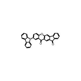 O=C1c2ccccc2-c2cc3oc4ccc(-n5c6ccccc6c6ccccc65)cc4c(=O)c3cc21